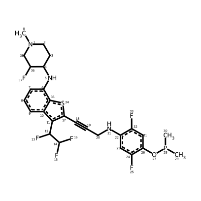 CN1CCC(Nc2cccc3c(C(F)C(F)F)c(C#CCNc4cc(F)c(OP(C)C)cc4F)sc23)C(F)C1